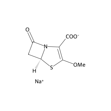 COC1=C(C(=O)[O-])N2C(=O)C[C@@H]2S1.[Na+]